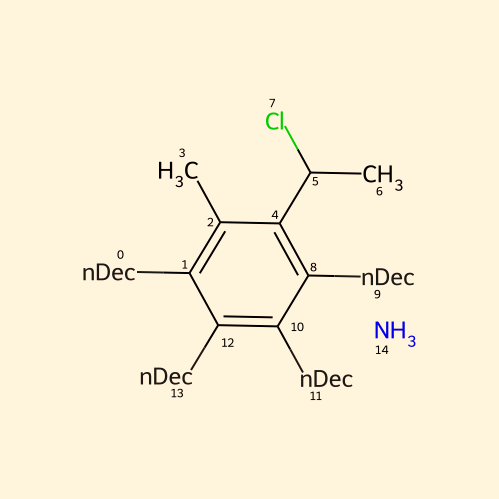 CCCCCCCCCCc1c(C)c(C(C)Cl)c(CCCCCCCCCC)c(CCCCCCCCCC)c1CCCCCCCCCC.N